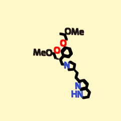 COC(=O)C[C@@H](CN1CC[C@@H](CCc2ccc3c(n2)NCCC3)C1)c1cccc(OC[C@H](C)OC)c1